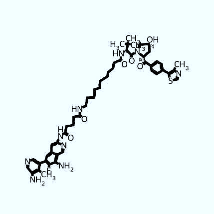 Cc1ncsc1-c1ccc(C(=O)[C@@H]2C[C@@H](O)CN2C(=O)[C@@H](NC(=O)CCCCCCCCCCNC(=O)CCCC(=O)Nc2cc3cc(-c4cncc(N)c4C)c(F)c(N)c3cn2)C(C)(C)C)cc1